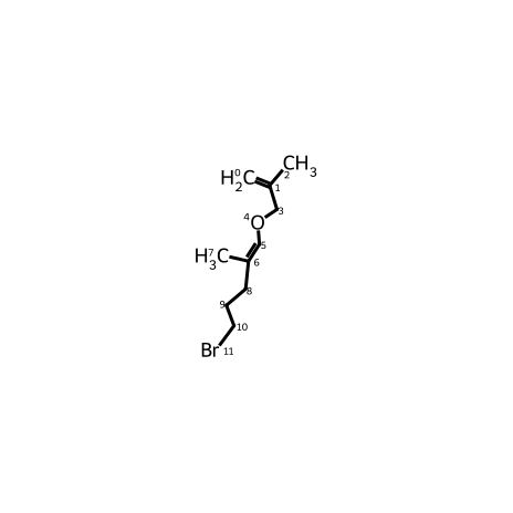 C=C(C)CO/C=C(\C)CCCBr